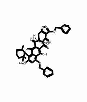 COc1cc(OCc2ccccc2)c2c(O)c3c(c4c2c1[C@]1(C4)C(C)=CCCC1(C)C)C(=O)[C@@]1(O)Cc2onc(OCc4ccccc4)c2C(=O)[C@@]1(O)C3=O